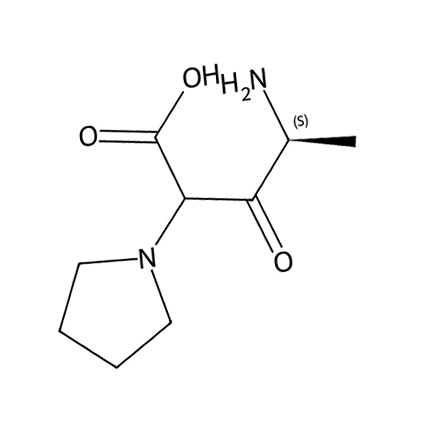 C[C@H](N)C(=O)C(C(=O)O)N1CCCC1